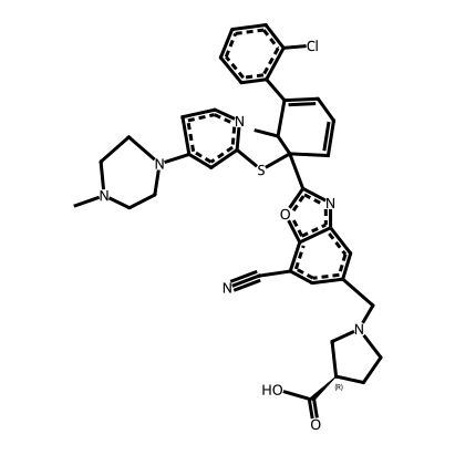 CC1C(c2ccccc2Cl)=CC=CC1(Sc1cc(N2CCN(C)CC2)ccn1)c1nc2cc(CN3CC[C@@H](C(=O)O)C3)cc(C#N)c2o1